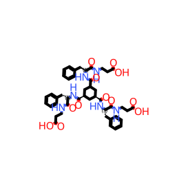 O=C(O)CCNC(=O)[C@H](Cc1ccccc1)NC(=O)C1C[C@H](C(=O)N[C@@H](Cc2ccccc2)C(=O)NCCC(=O)O)C[C@H](C(=O)N[C@@H](Cc2ccccc2)C(=O)NCCC(=O)O)C1